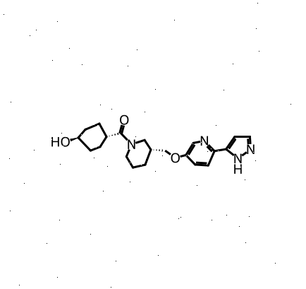 O=C([C@H]1CC[C@H](O)CC1)N1CCC[C@@H](COc2ccc(-c3ccn[nH]3)nc2)C1